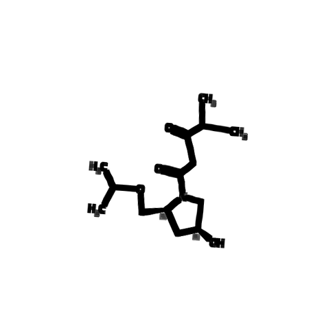 CC(C)OC[C@@H]1C[C@H](O)CN1C(=O)CC(=O)C(C)C